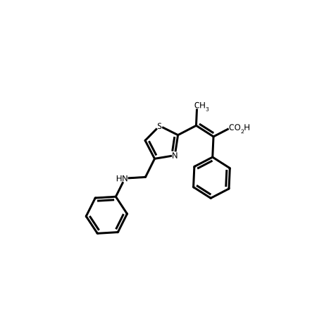 CC(=C(C(=O)O)c1ccccc1)c1nc(CNc2ccccc2)cs1